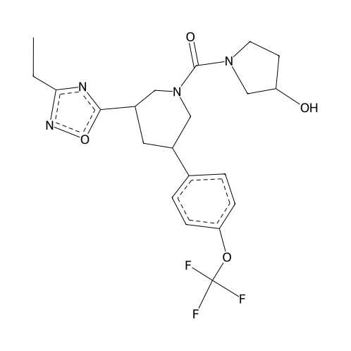 CCc1noc(C2CC(c3ccc(OC(F)(F)F)cc3)CN(C(=O)N3CCC(O)C3)C2)n1